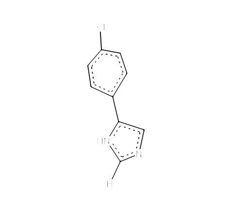 [2H]c1ncc(-c2ccc(C(F)(F)F)cc2)[nH]1